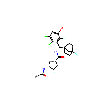 CC(=O)N[C@@H]1C[C@@H](C(=O)N[C@H](c2c(F)c(O)cc(Cl)c2Cl)C23CCC(F)(CC2)C3)C[C@H]1F